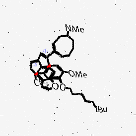 CCC(C)CCCCCOc1cc2c(cc1OC)/C(C1CCCCC(NC)CC1)=C\C(c1ccc3occc3c1)=C\CC2C